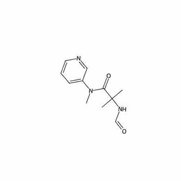 CN(C(=O)C(C)(C)NC=O)c1cccnc1